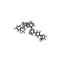 Cc1ccc2c(c1)OCCN2C(=O)c1cc2c(-c3cncc(-c4ccc(N5CCCC5=O)cc4)c3)ccnc2[nH]1